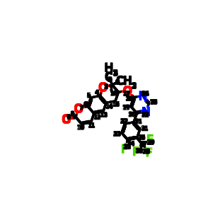 CC1(C)Oc2cc3oc(=O)ccc3cc2CC1Oc1cc(-c2ccc(F)c(C(F)(F)F)c2)ncn1